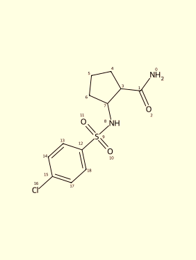 NC(=O)C1CCCC1NS(=O)(=O)c1ccc(Cl)cc1